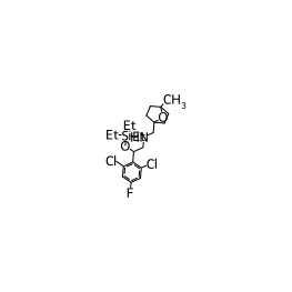 CC[Si](CC)(CC)OC(CNCC12CCC(C)(CC1)O2)c1c(Cl)cc(F)cc1Cl